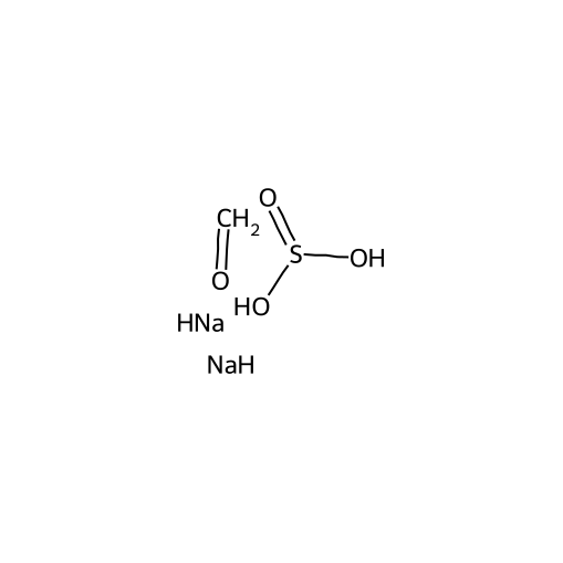 C=O.O=S(O)O.[NaH].[NaH]